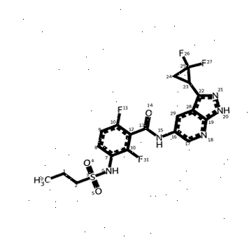 CCCS(=O)(=O)Nc1ccc(F)c(C(=O)Nc2cnc3[nH]nc(C4CC4(F)F)c3c2)c1F